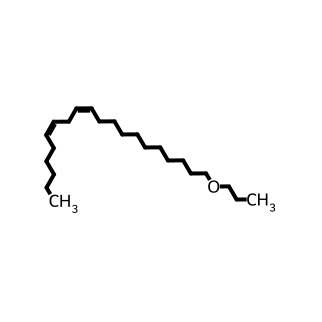 CCCCC/C=C\C/C=C\CCCCCCCCCCOCCC